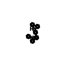 c1ccc(Nc2ccccc2-c2cccc(-c3ccc(Nc4ccccc4-c4ccccc4)cc3)c2)cc1